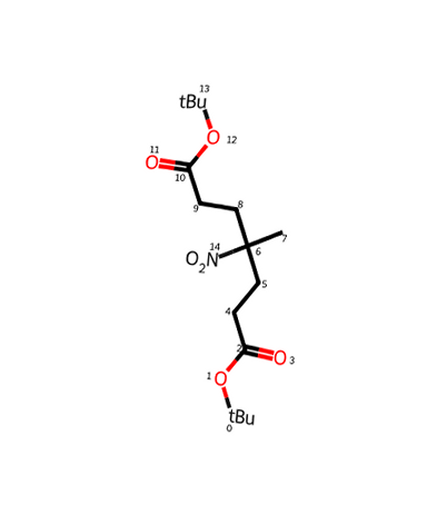 CC(C)(C)OC(=O)CCC(C)(CCC(=O)OC(C)(C)C)[N+](=O)[O-]